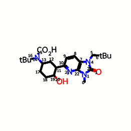 Cn1c(=O)n(CC(C)(C)C)c2ccc(C3CC(N(C(=O)O)C(C)(C)C)CCC3O)nc21